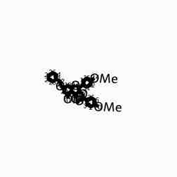 COc1ccc(C(=O)Oc2c(-c3ccc(OC)cc3)oc3cc(OCc4ccccc4)cc(OC)c3c2=O)cc1